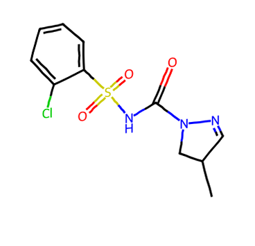 CC1C=NN(C(=O)NS(=O)(=O)c2ccccc2Cl)C1